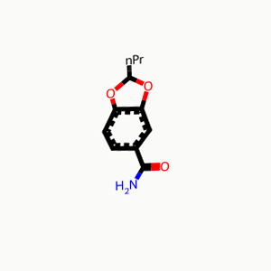 CCCC1Oc2ccc(C(N)=O)cc2O1